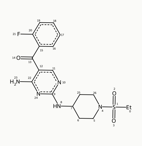 CCS(=O)(=O)N1CCC(Nc2ncc(C(=O)c3ccccc3F)c(N)n2)CC1